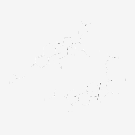 CCC(=O)O.CCC(=O)OCC(=O)[C@@]1(OC(=O)CC)[C@@H](C)C[C@H]2[C@@H]3CCC4=CC(=O)C=C[C@]4(C)C3(F)[C@@H](O)C[C@@]21C.CCC(=O)O[C@@H]1CC[C@@]2(C)C(CC[C@@]3(C)[C@@H]2[C@H](O)C[C@@H]2C(=C(CCC=C(C)C)C(=O)O)[C@@H](OC(C)=O)C[C@@]23C)[C@@H]1C